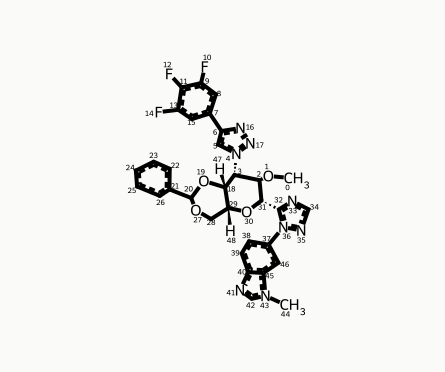 CO[C@@H]1[C@@H](n2cc(-c3cc(F)c(F)c(F)c3)nn2)[C@H]2OC(c3ccccc3)OC[C@H]2O[C@H]1c1ncnn1-c1ccc2ncn(C)c2c1